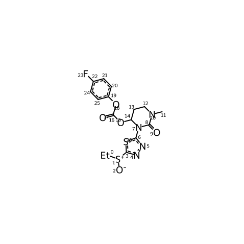 CC[S+]([O-])c1nnc(N2C(=O)N(C)CCC2OC(=O)Oc2ccc(F)cc2)s1